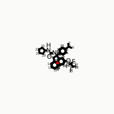 CC(C)c1ccc(C(Cc2ccccc2)(NC(=O)NC2CCCC2)c2cc(F)cc(OC(F)(F)C(F)F)c2)cc1